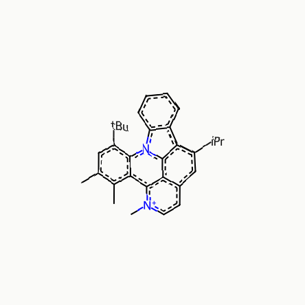 Cc1cc(C(C)(C)C)c2c(c1C)c1c3c(cc[n+]1C)cc(C(C)C)c1c4ccccc4n2c13